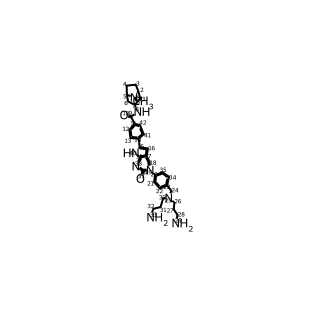 CN1C2CCC1CC(NC(=O)c1ccc(-c3cc4cn(-c5ccc(CN(CCCN)CCCN)cc5)c(=O)nc4[nH]3)cc1)C2